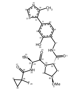 CO[C@@H]1C[C@@H](C(=O)NCc2ccc(-c3scnc3C)cc2O)N(C(=O)[C@@H](NC(=O)C2(F)CC2)C(C)(C)C)C1